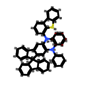 c1ccc(N(c2ccccc2)c2cc3c(cc2N(c2ccccc2)c2cccc4c2sc2ccccc24)-c2ccccc2C32c3ccccc3-c3ccccc32)cc1